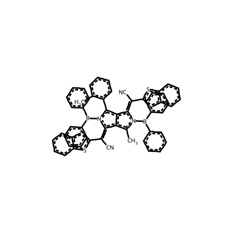 Cc1ccccc1-c1c2/c(=C(\C#N)c3nc4ccccc4s3)n(B(c3ccccc3)c3ccccc3)c(C)c2/c(=C(\C#N)c2nc3ccccc3s2)n1B(c1ccccc1)c1ccccc1